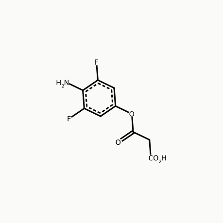 Nc1c(F)cc(OC(=O)CC(=O)O)cc1F